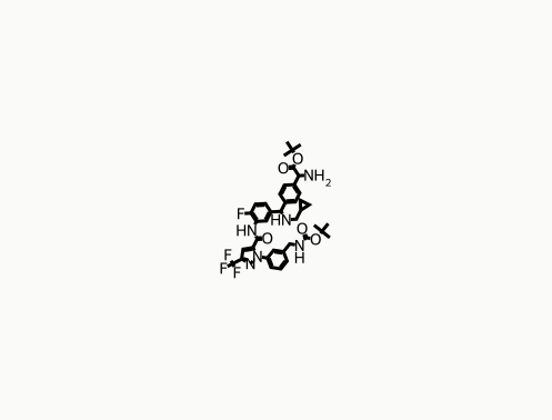 CC(C)(C)OC(=O)NCc1cccc(-n2nc(C(F)(F)F)cc2C(=O)Nc2cc(C(NCC3CC3)c3ccc(C(N)C(=O)OC(C)(C)C)cc3)ccc2F)c1